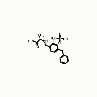 CS(=O)(=O)O.C[C@H](NCc1ccc(Cc2ccccc2)cc1)C(N)=O